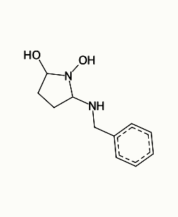 OC1CCC(NCc2ccccc2)N1O